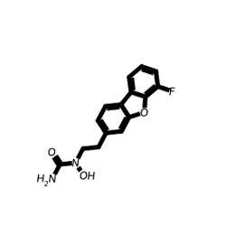 NC(=O)N(O)CCc1ccc2c(c1)oc1c(F)cccc12